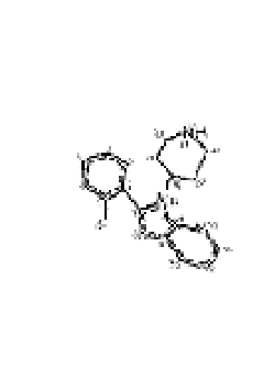 Fc1ccccc1-c1nc2cccnc2n1C1CCNCC1